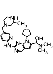 CC1CN(Cc2ccc(Nc3ncc4cc(C(O)N(C)C)n(C5CCCC5)c4n3)nc2)CCN1